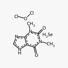 ClOCl.Cn1c(=O)c2[nH]cnc2n(C)c1=O.[SeH2]